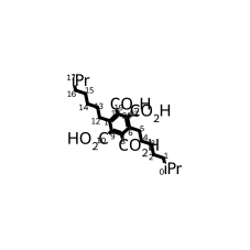 CC(C)CCCCCc1c(C(=O)O)c(C(=O)O)c(CCCCCC(C)C)c(C(=O)O)c1C(=O)O